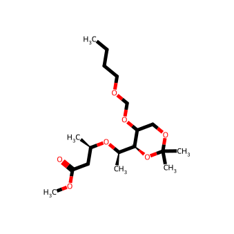 CCCCOCOC1COC(C)(C)O[C@H]1[C@@H](C)O[C@H](C)CC(=O)OC